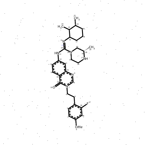 COc1ccc(CCn2cnc3cc(N/C(=N/C4CCCC(C)C4C)N4CCN[C@@H](C)C4)ccc3c2=O)c(F)c1